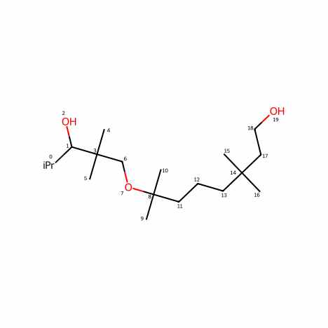 CC(C)C(O)C(C)(C)COC(C)(C)CCCC(C)(C)CCO